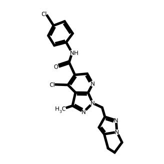 Cc1nn(Cc2cc3n(n2)CCC3)c2ncc(C(=O)Nc3ccc(Cl)cc3)c(Cl)c12